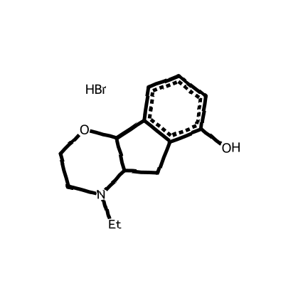 Br.CCN1CCOC2c3cccc(O)c3CC21